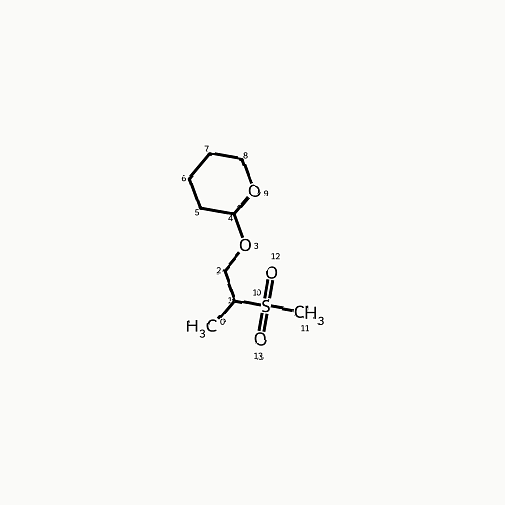 CC(COC1CCCCO1)S(C)(=O)=O